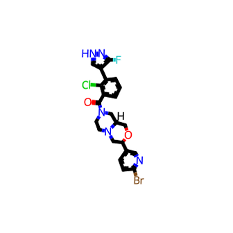 O=C(c1cccc(-c2c[nH]nc2F)c1Cl)N1CCN2CC(c3ccc(Br)nc3)OC[C@@H]2C1